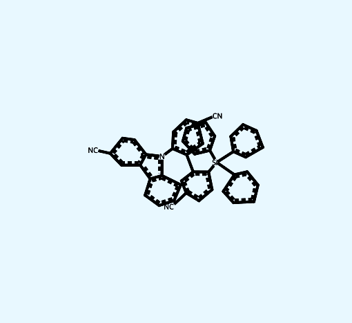 N#Cc1ccc(-n2c3ccccc3c3cc(C#N)ccc32)c(-c2cc(C#N)ccc2[Si](c2ccccc2)(c2ccccc2)c2ccccc2)c1